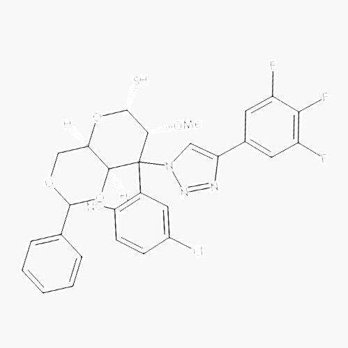 CO[C@H]1[C@@H](S)O[C@@H]2COC(c3ccccc3)O[C@@H]2C1(c1cc(Cl)ccc1C#N)n1cc(-c2cc(F)c(F)c(F)c2)nn1